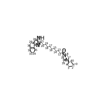 Cc1cccc(N2CCN(C(=O)CCCCCCCCCCn3nc4c(cc3=N)CCC3C=CC=CC43)CC2C)c1